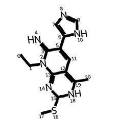 CCn1c(=N)c(-c2cnc[nH]2)cc2c1=NC(SC)NC=2C